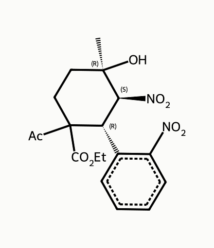 CCOC(=O)C1(C(C)=O)CC[C@@](C)(O)[C@@H]([N+](=O)[O-])[C@@H]1c1ccccc1[N+](=O)[O-]